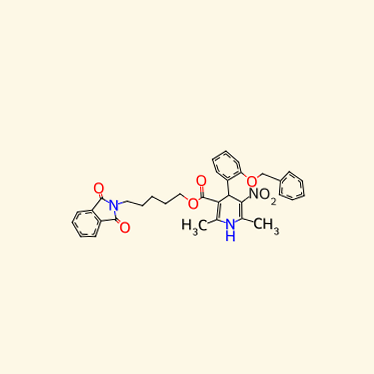 CC1=C(C(=O)OCCCCCN2C(=O)c3ccccc3C2=O)C(c2ccccc2OCc2ccccc2)C([N+](=O)[O-])=C(C)N1